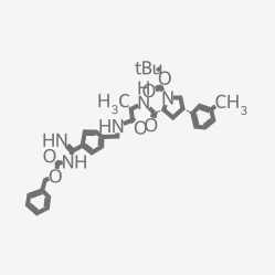 Cc1cccc([C@@H]2C[C@H](C(=O)N[C@@H](C)C(=O)NCc3ccc(C(=N)NC(=O)OCc4ccccc4)cc3)N(C(=O)OC(C)(C)C)C2)c1